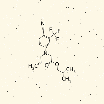 C=CCN(CC(=O)OCC(C)C)c1ccc(C#N)c(C(F)(F)F)c1